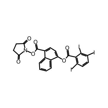 O=C(Oc1ccc(C(=O)ON2C(=O)CCC2=O)c2ccccc12)c1c(I)ccc(I)c1I